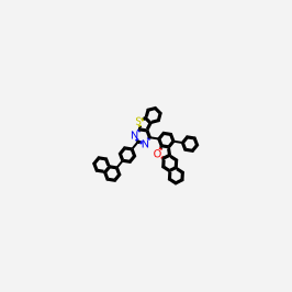 c1ccc(-c2ccc(-c3nc(-c4ccc(-c5cccc6ccccc56)cc4)nc4sc5ccccc5c34)c3oc4cc5ccccc5cc4c23)cc1